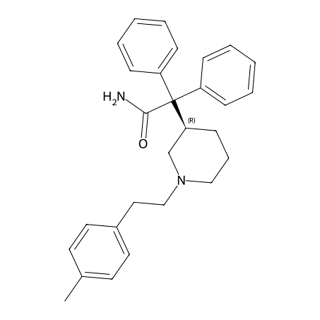 Cc1ccc(CCN2CCC[C@H](C(C(N)=O)(c3ccccc3)c3ccccc3)C2)cc1